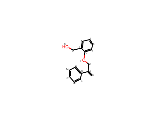 C=C(COc1ccccc1CO)c1ccccc1